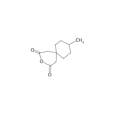 CC1CCC2(CC1)CC(=O)OC(=O)C2